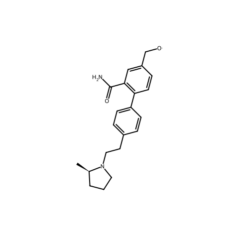 C[C@@H]1CCCN1CCc1ccc(-c2ccc(C[O])cc2C(N)=O)cc1